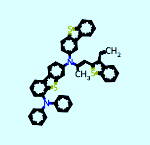 C=Cc1c(/C=C(\C)N(c2ccc3c(c2)sc2c(N(c4ccccc4)c4ccccc4)cccc23)c2ccc3sc4ccccc4c3c2)sc2ccccc12